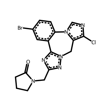 O=C1CCCN1Cc1nc2n(n1)Cc1c(Cl)ncn1-c1ccc(Br)cc1-2